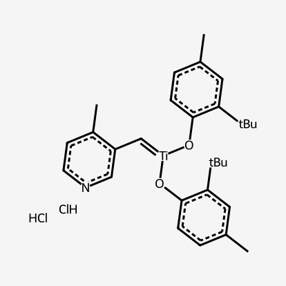 Cc1ccc([O][Ti](=[CH]c2cnccc2C)[O]c2ccc(C)cc2C(C)(C)C)c(C(C)(C)C)c1.Cl.Cl